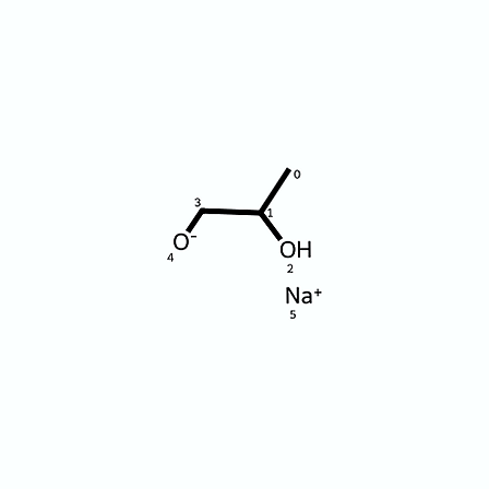 CC(O)C[O-].[Na+]